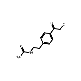 CC(=O)NCCc1ccc(C(=O)CCl)cc1